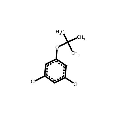 CC(C)(C)Oc1[c]c(Cl)cc(Cl)c1